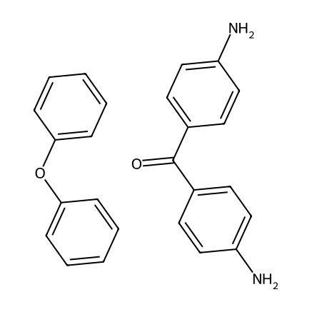 Nc1ccc(C(=O)c2ccc(N)cc2)cc1.c1ccc(Oc2ccccc2)cc1